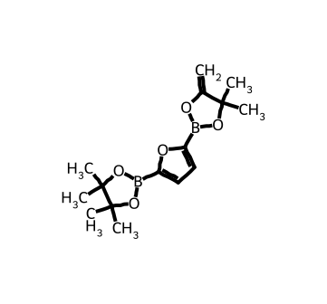 C=C1OB(c2ccc(B3OC(C)(C)C(C)(C)O3)o2)OC1(C)C